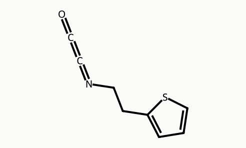 O=C=C=NCCc1cccs1